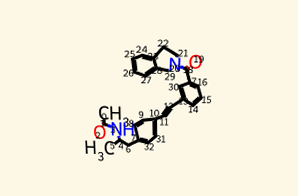 CC(=O)NC(C)Cc1ccc(C#Cc2cccc(C(=O)N3CCc4ccccc4C3)c2)cc1